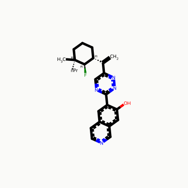 C=C(c1cnc(-c2cc3ccncc3cc2O)nn1)[C@H]1CCC[C@@](C)(CCC)[C@@H]1F